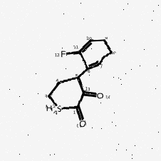 O=C1[SH4]CCC(C2=CC[CH]C=C2F)C1=O